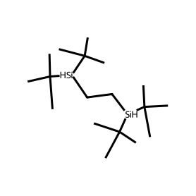 CC(C)(C)[SiH](CC[SiH](C(C)(C)C)C(C)(C)C)C(C)(C)C